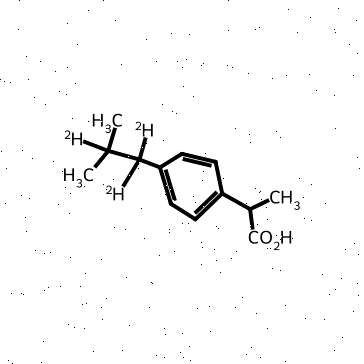 [2H]C(C)(C)C([2H])([2H])c1ccc(C(C)C(=O)O)cc1